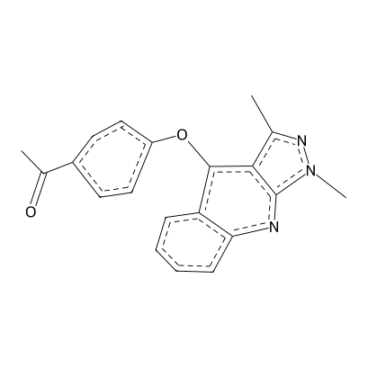 CC(=O)c1ccc(Oc2c3ccccc3nc3c2c(C)nn3C)cc1